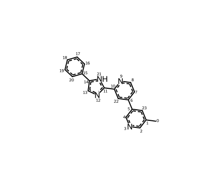 Cc1cncc(-c2ccnc(-c3ncc(-c4ccccc4)[nH]3)c2)c1